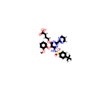 COc1ccccc1Oc1c(NS(=O)(=O)c2ccc(C(C)(C)C)cc2)nc(-c2ncccn2)nc1OCCCC(=O)O